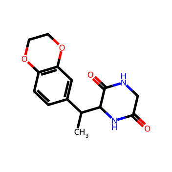 CC(c1ccc2c(c1)OCCO2)C1NC(=O)CNC1=O